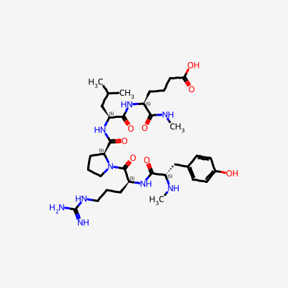 CNC(=O)[C@H](CCCC(=O)O)NC(=O)[C@H](CC(C)C)NC(=O)[C@@H]1CCCN1C(=O)[C@H](CCCNC(=N)N)NC(=O)[C@H](Cc1ccc(O)cc1)NC